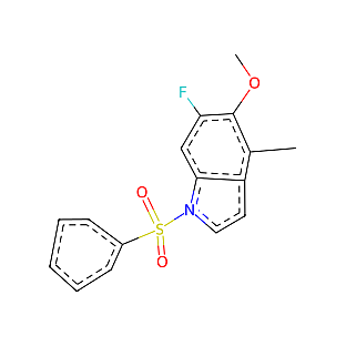 COc1c(F)cc2c(ccn2S(=O)(=O)c2ccccc2)c1C